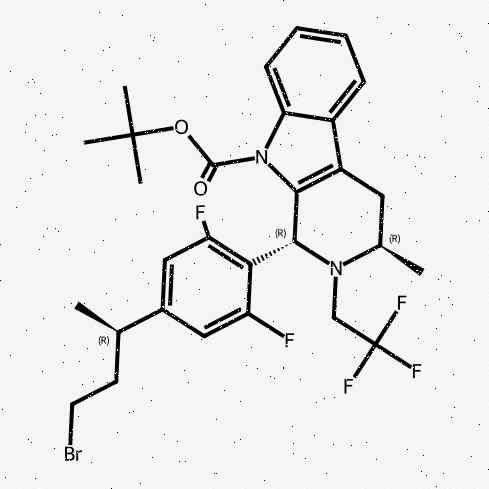 C[C@H](CCBr)c1cc(F)c([C@@H]2c3c(c4ccccc4n3C(=O)OC(C)(C)C)C[C@@H](C)N2CC(F)(F)F)c(F)c1